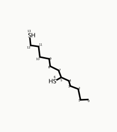 CCCCCC(S)CCCCCCS